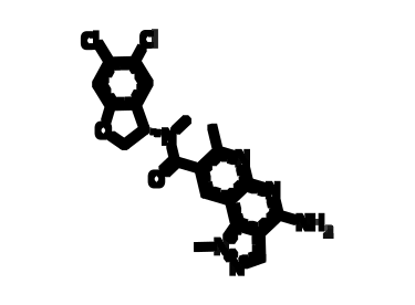 Cc1nc2nc(N)c3cnn(C)c3c2cc1C(=O)N(C)[C@@H]1COc2cc(Cl)c(Cl)cc21